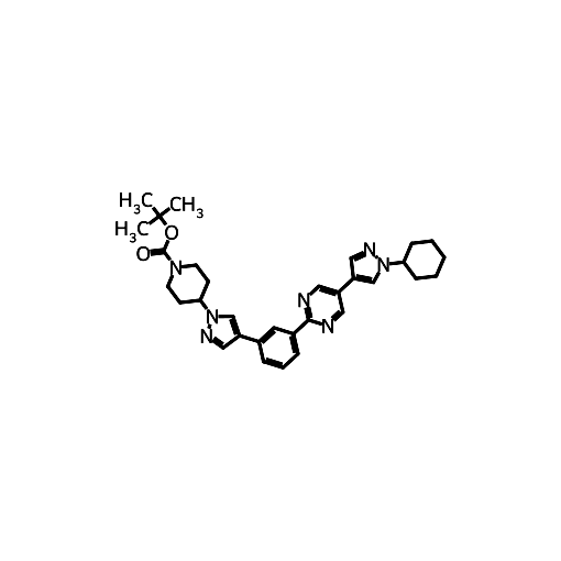 CC(C)(C)OC(=O)N1CCC(n2cc(-c3cccc(-c4ncc(-c5cnn(C6CCCCC6)c5)cn4)c3)cn2)CC1